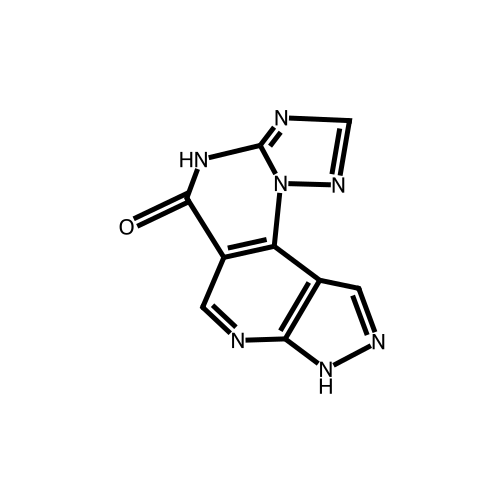 O=c1[nH]c2ncnn2c2c1cnc1[nH]ncc12